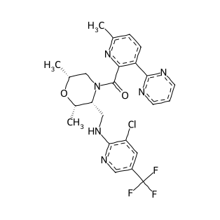 Cc1ccc(-c2ncccn2)c(C(=O)N2C[C@@H](C)O[C@@H](C)[C@H]2CNc2ncc(C(F)(F)F)cc2Cl)n1